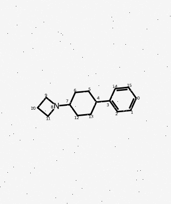 c1ccc(C2CCC(N3CCC3)CC2)cc1